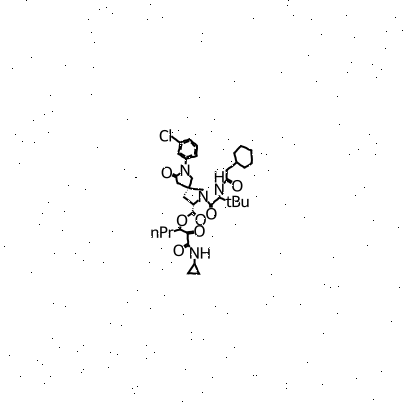 CCCC(OC(=O)[C@@H]1C[C@@]2(CC(=O)N(c3cccc(Cl)c3)C2)CN1C(=O)C(NC(=O)CC1CCCCC1)C(C)(C)C)C(=O)C(=O)NC1CC1